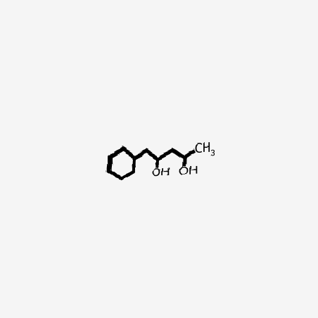 CC(O)CC(O)CC1CCCCC1